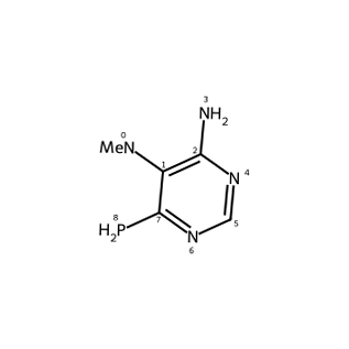 CNc1c(N)ncnc1P